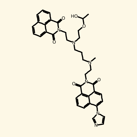 CC(O)OCCN(CCCN(C)CCN1C(=O)c2cccc3c(-n4ccnc4)ccc(c23)C1=O)CCN1C(=O)c2cccc3cccc(c23)C1=O